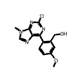 COc1ccc(-c2nc(Cl)nc3c2ncn3C)c(CO)c1